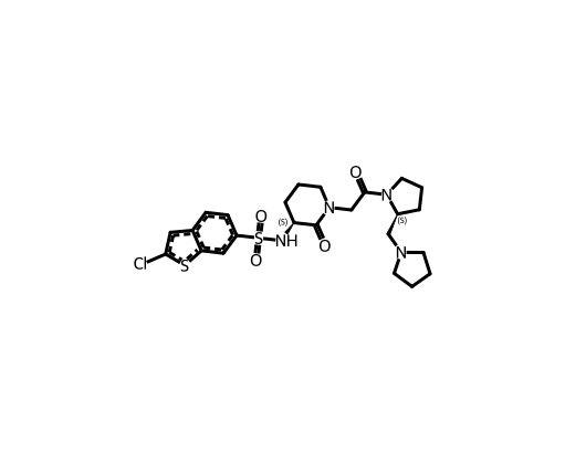 O=C1[C@@H](NS(=O)(=O)c2ccc3cc(Cl)sc3c2)CCCN1CC(=O)N1CCC[C@H]1CN1CCCC1